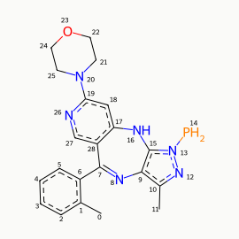 Cc1ccccc1C1=Nc2c(C)nn(P)c2Nc2cc(N3CCOCC3)ncc21